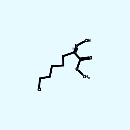 COC(=O)/C(CCCCCCl)=N\O